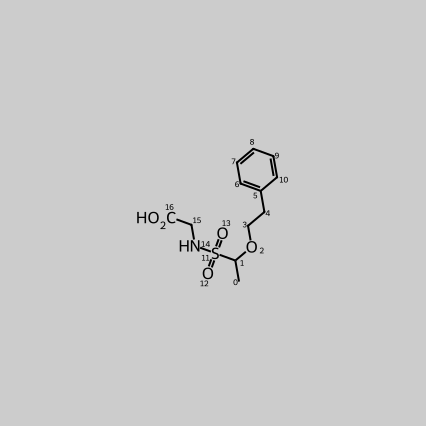 CC(OCCc1ccccc1)S(=O)(=O)NCC(=O)O